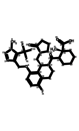 Cn1nnc(COc2ccc(F)c3c2[C@@H](CN2CCCC2=O)N(C(=O)C2CCCC[C@@]2(C)C(=O)O)CC3)c1C(F)(F)F